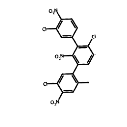 Cc1cc([N+](=O)[O-])c(Cl)cc1-c1c[c]c(Cl)c(-c2ccc([N+](=O)[O-])c(Cl)c2)c1[N+](=O)[O-]